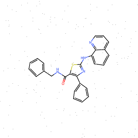 O=C(NCc1ccccc1)c1sc(Nc2cccc3cccnc23)nc1-c1ccccc1